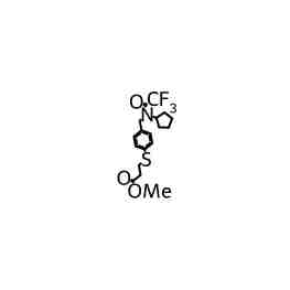 COC(=O)CCSc1ccc(CN(C(=O)C(F)(F)F)C2CCCC2)cc1